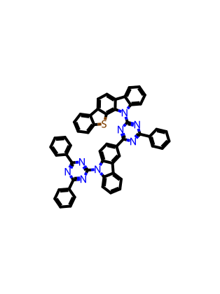 c1ccc(-c2nc(-c3ccccc3)nc(-n3c4ccccc4c4cc(-c5nc(-c6ccccc6)nc(-n6c7ccccc7c7ccc8c9ccccc9sc8c76)n5)ccc43)n2)cc1